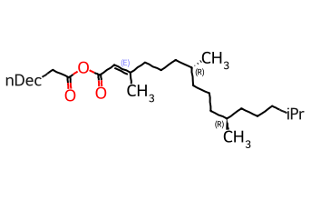 CCCCCCCCCCCC(=O)OC(=O)/C=C(\C)CCC[C@H](C)CCC[C@H](C)CCCC(C)C